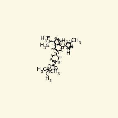 Cc1cc(-c2cc(C3CCN(C(=O)OC(C)(C)C)CC3)cc3c(C(C)C)c[nH]c23)[nH]n1